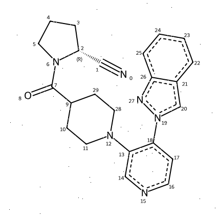 N#C[C@H]1CCCN1C(=O)C1CCN(c2cnccc2-n2cc3ccccc3n2)CC1